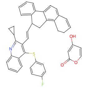 Fc1ccc(Sc2c(/C=C/C3Cc4c(ccc5c4CCC=C5)-c4ccccc43)c(C3CC3)nc3ccccc23)cc1.O=c1cc(O)cco1